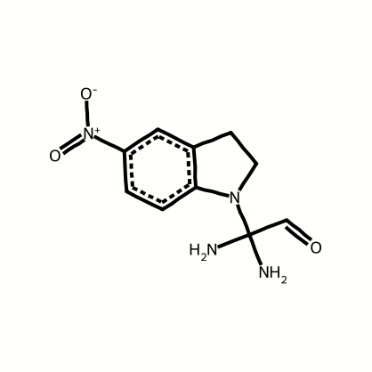 NC(N)(C=O)N1CCc2cc([N+](=O)[O-])ccc21